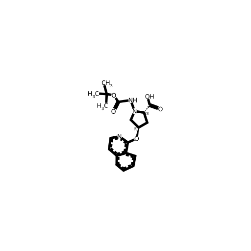 CC(C)(C)OC(=O)NN1C[C@H](Oc2nccc3ccccc23)C[C@H]1C(=O)O